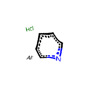 Cl.[Al].c1ccncc1